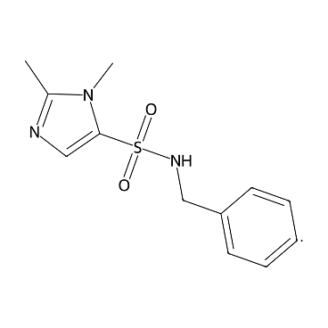 Cc1ncc(S(=O)(=O)NCc2cc[c]cc2)n1C